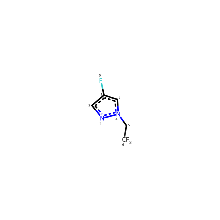 Fc1[c]nn(CC(F)(F)F)c1